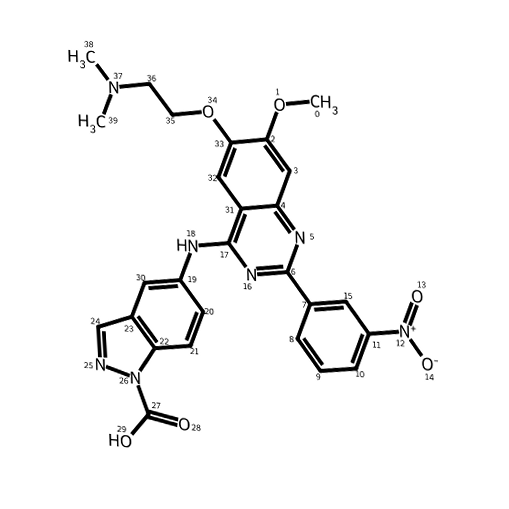 COc1cc2nc(-c3cccc([N+](=O)[O-])c3)nc(Nc3ccc4c(cnn4C(=O)O)c3)c2cc1OCCN(C)C